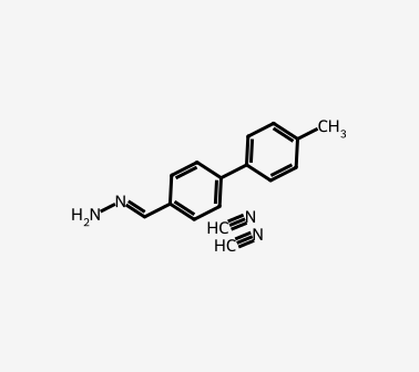 C#N.C#N.Cc1ccc(-c2ccc(C=NN)cc2)cc1